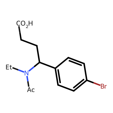 CCN(C(C)=O)C(CCC(=O)O)c1ccc(Br)cc1